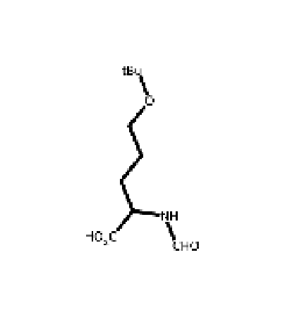 CC(C)(C)OCCCC(NC=O)C(=O)O